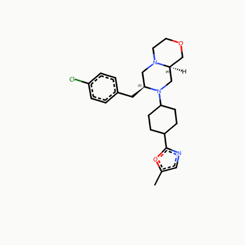 Cc1cnc(C2CCC(N3C[C@@H]4COCCN4C[C@@H]3Cc3ccc(Cl)cc3)CC2)o1